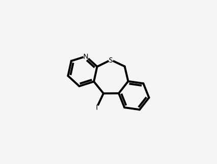 IC1c2ccccc2CSc2ncccc21